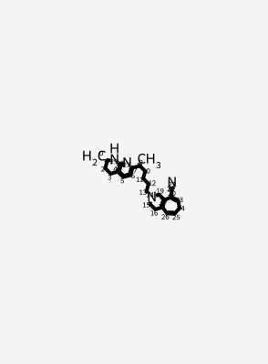 C=C1CCc2ccc(C(C)CCCCN3CCC4=C(C3)C(C#N)=CCC=C4)nc2N1